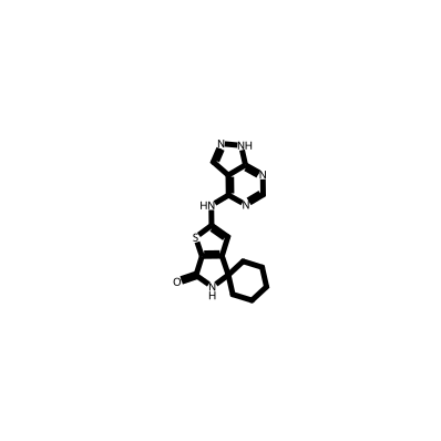 O=C1NC2(CCCCC2)c2cc(Nc3ncnc4[nH]ncc34)sc21